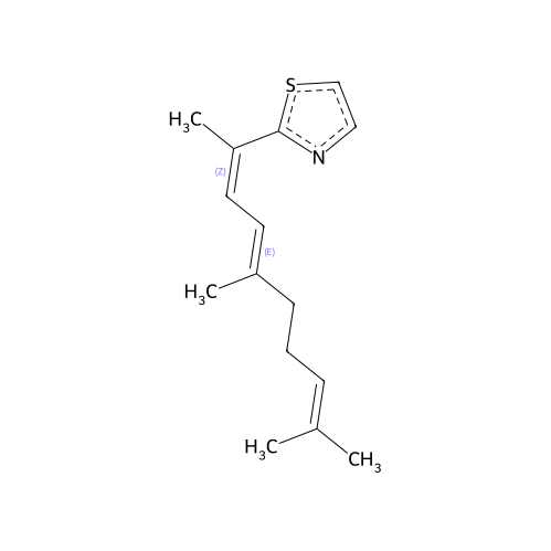 CC(C)=CCC/C(C)=C/C=C(/C)c1nccs1